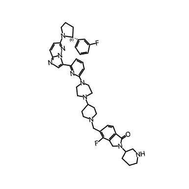 O=C1c2ccc(CN3CCC(N4CCN(c5cccc(-c6cnc7ccc(N8CCC[C@@H]8c8cccc(F)c8)nn67)n5)CC4)CC3)c(F)c2CN1C1CCCNC1